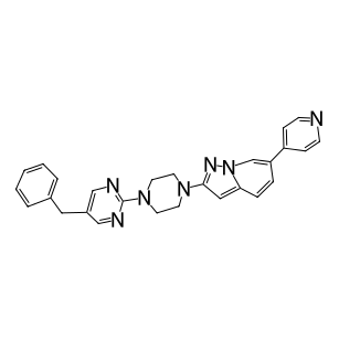 c1ccc(Cc2cnc(N3CCN(c4cc5ccc(-c6ccncc6)cn5n4)CC3)nc2)cc1